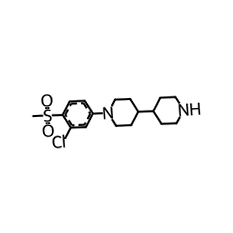 CS(=O)(=O)c1ccc(N2CCC(C3CCNCC3)CC2)cc1Cl